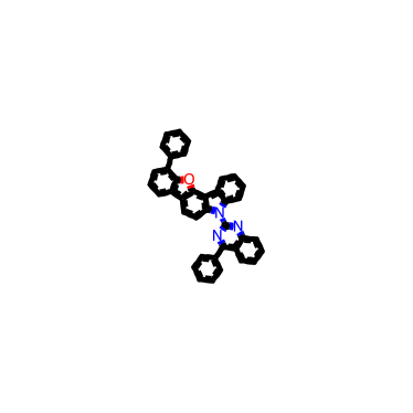 c1ccc(-c2nc(-n3c4ccccc4c4c5oc6c(-c7ccccc7)cccc6c5ccc43)nc3ccccc23)cc1